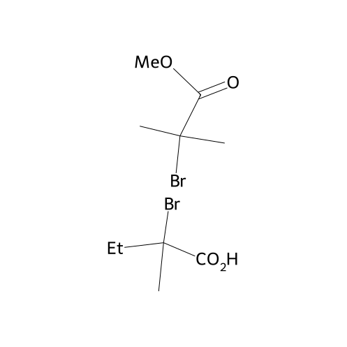 CCC(C)(Br)C(=O)O.COC(=O)C(C)(C)Br